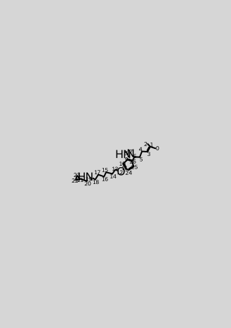 CC(C)=CCCc1n[nH]c2cc(OCCCCCCNCC3CC3)ccc12